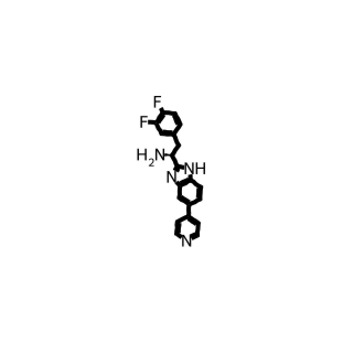 N[C@@H](Cc1ccc(F)c(F)c1)c1nc2cc(-c3ccncc3)ccc2[nH]1